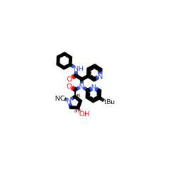 CC(C)(C)c1ccc(N(C(=O)[C@H]2C[C@@H](O)CN2C#N)C(C(=O)NC2CCCCC2)c2cccnc2)nc1